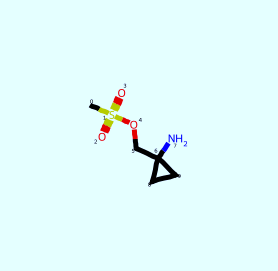 CS(=O)(=O)OCC1(N)CC1